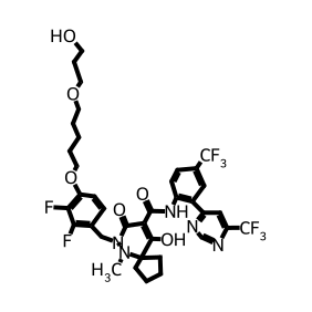 CN1N(Cc2ccc(OCCCCCOCCCO)c(F)c2F)C(=O)C(C(=O)Nc2ccc(C(F)(F)F)cc2-c2cc(C(F)(F)F)ncn2)=C(O)C12CCCC2